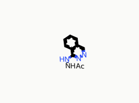 CC(=O)NNc1nncc2ccccc12